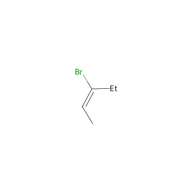 C/C=C(/Br)CC